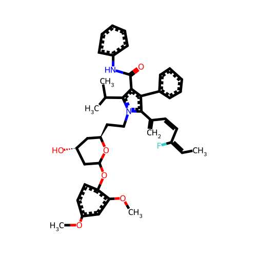 C=C(/C=C\C(F)=C/C)c1c(-c2ccccc2)c(C(=O)Nc2ccccc2)c(C(C)C)n1CC[C@@H]1C[C@@H](O)CC(Oc2ccc(OC)cc2OC)O1